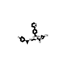 N#CC1CN(C(=O)[C@H](CCCN[C@@H]2C[C@H]2c2ccc(F)cc2)NC(=O)c2ccc(-c3cccnn3)cc2)C1